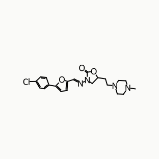 CN1CCN(CCC2CN(N=Cc3ccc(-c4ccc(Cl)cc4)o3)C(=O)O2)CC1